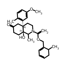 C=C(OCC1=CC=CCC1C)N1CC[C@]2(c3cc(OC)ccc3C)CC(=O)CC[C@@]2(O)C1C